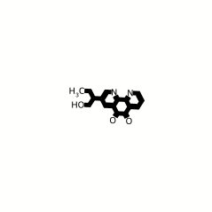 CCC(CO)c1cnc2c(c1)C(=O)C(=O)c1cccnc1-2